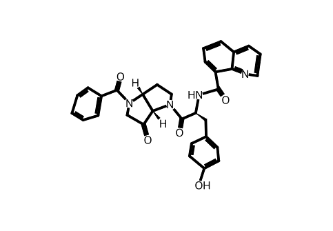 O=C(N[C@@H](Cc1ccc(O)cc1)C(=O)N1CC[C@@H]2[C@H]1C(=O)CN2C(=O)c1ccccc1)c1cccc2cccnc12